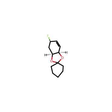 F[C@H]1C=C[C@H]2OC3(CCCCC3)O[C@H]2C1